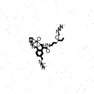 CCOC(=O)O/C=C(/C(=O)NCCC[C@@H](CC)OCN=[N+]=[N-])c1cc(CN=[N+]=[N-])ccc1CN=[N+]=[N-]